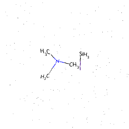 CN(C)C.[SiH3]I